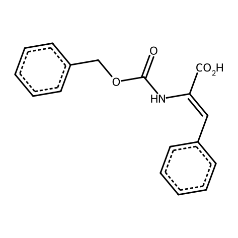 O=C(N/C(=C\c1ccccc1)C(=O)O)OCc1ccccc1